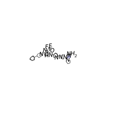 N/N=C(/N1CCCC1)N1CCN(c2ccc(NC(=O)c3oc(N4CCC(c5ccccc5)CC4)nc3C(F)(F)F)cn2)CC1